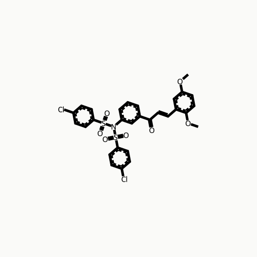 COc1ccc(OC)c(C=CC(=O)c2cccc(N(S(=O)(=O)c3ccc(Cl)cc3)S(=O)(=O)c3ccc(Cl)cc3)c2)c1